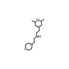 CC1CN(CCNCCN2CCOCC2)CC(C)O1